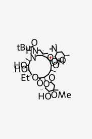 CC[C@H]1OC(=O)[C@H](C)[C@@H](O[C@H]2C[C@@](C)(OC)[C@@H](O)[C@H](C)O2)[C@H](C)[C@@H](O[C@@H]2O[C@H](C)C[C@H](N(C)C)[C@H]2OCCCNC(=O)C(C)(C)C)[C@](C)(O)C[C@@H](C)CN(C)[C@H](C)[C@@H](O)[C@]1(C)O